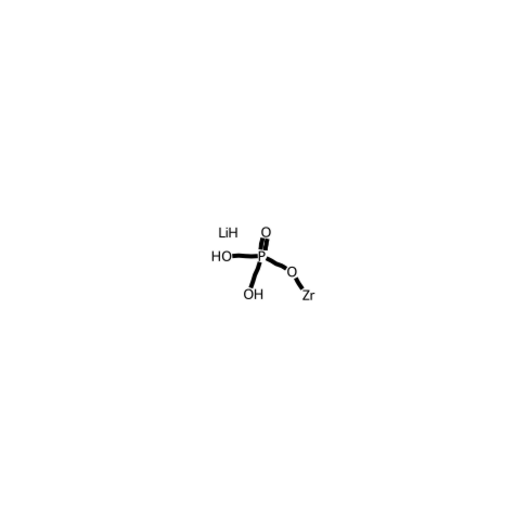 O=P(O)(O)[O][Zr].[LiH]